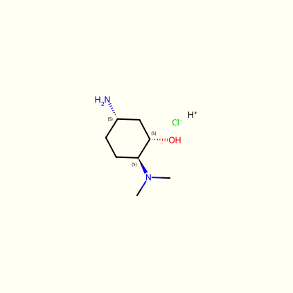 CN(C)[C@H]1CC[C@H](N)C[C@@H]1O.[Cl-].[H+]